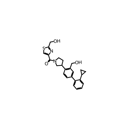 O=C(c1csc(CO)n1)N1CCC(c2ccc(-c3ccccc3C3CC3)cc2CO)C1